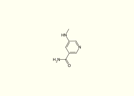 CNc1cncc(C(N)=O)c1